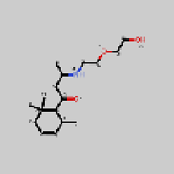 CC(CC(=O)C1C(C)C=CCC1(C)C)NCCOCCO